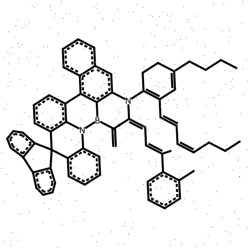 C=C1B2c3c(cc4ccccc4c3-c3cccc4c3N2c2ccccc2C42c3ccccc3-c3ccccc32)N(C2=C(C=C/C=C\CCC)C=C(CCCC)CC2)/C1=C/C=C(\C)c1ccccc1C